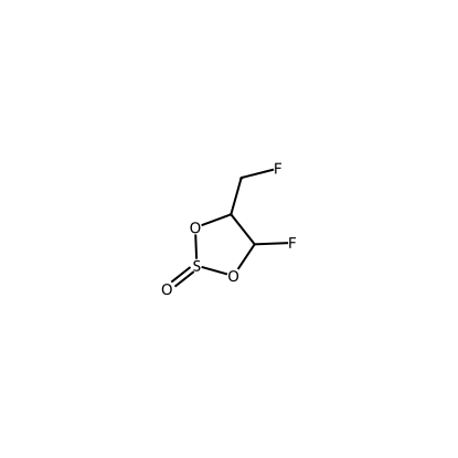 O=S1OC(F)C(CF)O1